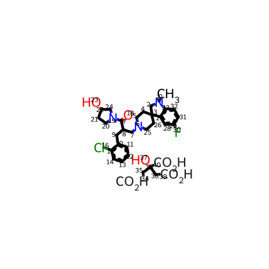 CN1CC2(CCN(CC(Cc3ccccc3Cl)C(=O)N3CC[C@@H](O)C3)CC2)c2cc(F)ccc21.O=C(O)CC(O)(CC(=O)O)C(=O)O